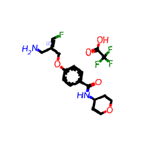 NC/C(=C/F)COc1ccc(C(=O)NC2CCOCC2)cc1.O=C(O)C(F)(F)F